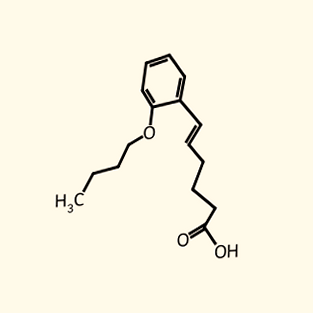 CCCCOc1ccccc1/C=C/CCCC(=O)O